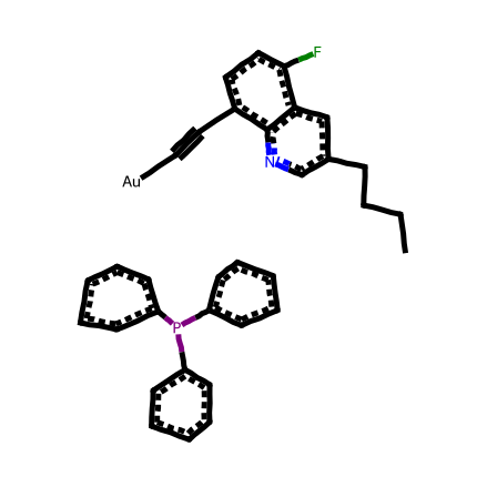 CCCCc1cnc2c(C#[C][Au])ccc(F)c2c1.c1ccc(P(c2ccccc2)c2ccccc2)cc1